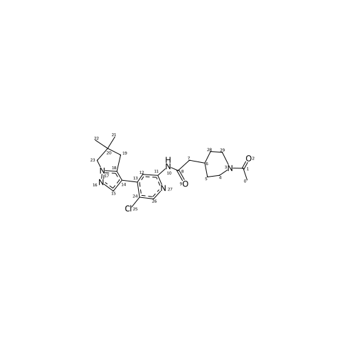 CC(=O)N1CCC(CC(=O)Nc2cc(-c3cnn4c3CC(C)(C)C4)c(Cl)cn2)CC1